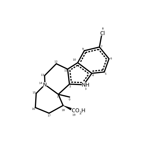 CC12c3[nH]c4ccc(Cl)cc4c3CCN1CCC[C@@H]2C(=O)O